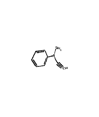 C#CN([SiH3])c1ccccc1